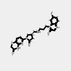 O=C1COc2ccc(N3C[C@@H](CNCCCn4c(=O)cnc5ccc(F)cc54)CC3=O)nc2N1